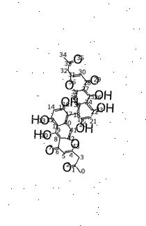 CC(=O)Cc1cc(=O)c2c(O)c3c(O)cc(O)c(-c4c(O)cc(O)c5c(O)c6c(=O)cc(CC(C)=O)oc6cc45)c3cc2o1